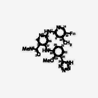 CNC(=O)c1cnc(Nc2cc(C)c(F)cn2)cc1Nc1cccc(-c2nnn[nH]2)c1OC